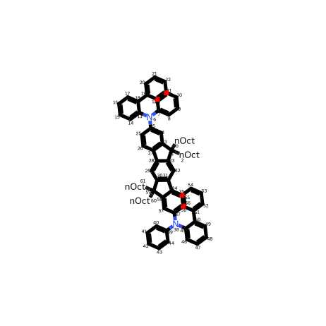 CCCCCCCCC1(CCCCCCCC)c2cc(N(c3ccccc3)c3ccccc3-c3ccccc3)ccc2-c2cc3c(cc21)-c1ccc(N(c2ccccc2)c2ccccc2-c2ccccc2)cc1C3(CCCCCCCC)CCCCCCCC